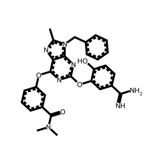 Cc1nc2c(Oc3cccc(C(=O)N(C)C)c3)nc(Oc3cc(C(=N)N)ccc3O)nc2n1Cc1ccccc1